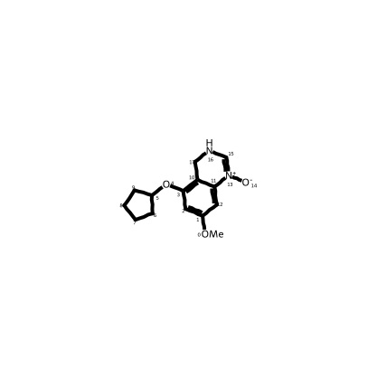 COc1cc(OC2CCCC2)c2c(c1)[N+]([O-])=CNC2